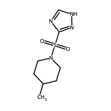 CC1CCN(S(=O)(=O)c2nc[nH]n2)CC1